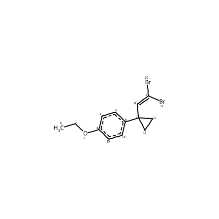 CCOc1ccc(C2(C=C(Br)Br)CC2)cc1